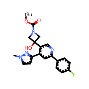 Cn1ccc(-c2cc(-c3ccc(F)cc3)ncc2C2(O)CN(C(=O)OC(C)(C)C)C2)n1